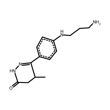 CC1CC(=O)NN=C1c1ccc(NCCCN)cc1